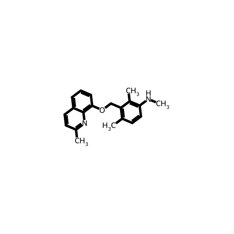 CNc1ccc(C)c(COc2cccc3ccc(C)nc23)c1C